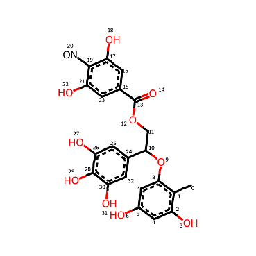 Cc1c(O)cc(O)cc1OC(COC(=O)c1cc(O)c(N=O)c(O)c1)c1cc(O)c(O)c(O)c1